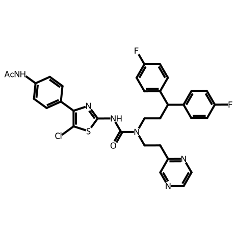 CC(=O)Nc1ccc(-c2nc(NC(=O)N(CCc3cnccn3)CCC(c3ccc(F)cc3)c3ccc(F)cc3)sc2Cl)cc1